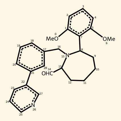 COc1cccc(OC)c1C1CCCCC(C=O)N1Cc1cccc(-c2cccnc2)c1